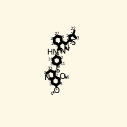 COc1cc(OC)c2c(Sc3ccc(Nc4nnc(-c5cc(C)cs5)c5ccccc45)cc3)ccnc2c1